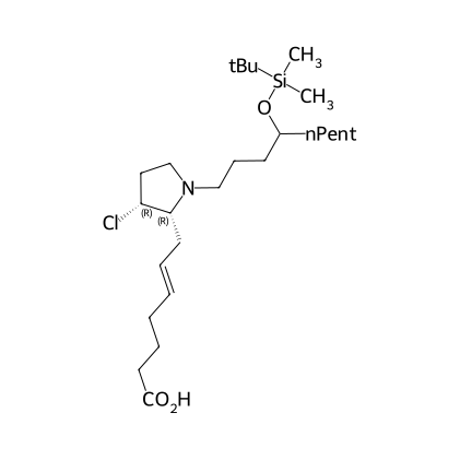 CCCCCC(CCCN1CC[C@@H](Cl)[C@H]1CC=CCCCC(=O)O)O[Si](C)(C)C(C)(C)C